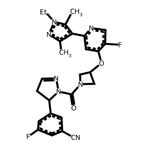 CCn1nc(C)c(-c2cc(OC3CN(C(=O)N4N=CCC4c4cc(F)cc(C#N)c4)C3)c(F)cn2)c1C